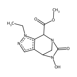 CCn1ncc2c1C(C(=O)OC)N1CC2N(O)C1=O